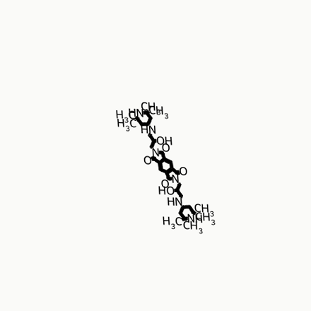 CC1(C)CC(NCC(O)Cn2c(=O)c3cc4c(=O)n(CC(O)CNC5CC(C)(C)NC(C)(C)C5)c(=O)c4cc3c2=O)CC(C)(C)N1